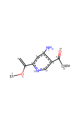 C=C(OCC)c1cc(N)c(C(=O)OC)cn1